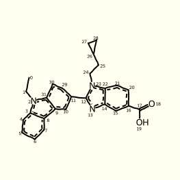 CCn1c2ccccc2c2cc(-c3nc4cc(C(=O)O)ccc4n3CCC3CC3)ccc21